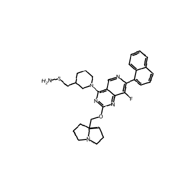 NSCC1CCCN(c2nc(OCC34CCCN3CCC4)nc3c(F)c(-c4cccc5ccccc45)ncc23)C1